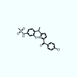 CC(c1ccc(C(=O)c2ccc(Cl)cc2)[nH]1)c1ccc(NS(C)(=O)=O)cc1F